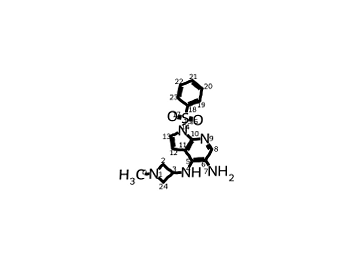 CN1CC(Nc2c(N)cnc3c2ccn3S(=O)(=O)c2ccccc2)C1